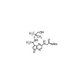 C=C(NCC(C)(C)CO)c1c[nH]c2ncc(NCC(=O)NC)nc12